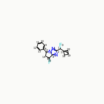 FC(c1nc2n(n1)[C@H](c1ccccc1)C[C@@H]2F)C12CC(C1)C2